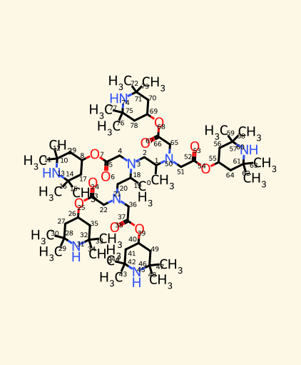 CC(CN(CC(=O)OC1CC(C)(C)NC(C)(C)C1)C(C)CN(CC(=O)OC1CC(C)(C)NC(C)(C)C1)CC(=O)OC1CC(C)(C)NC(C)(C)C1)N(CC(=O)OC1CC(C)(C)NC(C)(C)C1)CC(=O)OC1CC(C)(C)NC(C)(C)C1